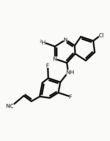 [2H]c1nc(Nc2c(F)cc(C=CC#N)cc2F)c2ccc(Cl)cc2n1